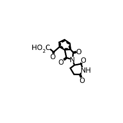 O=C1CCC(N2C(=O)c3cccc(C(=O)C(=O)O)c3C2=O)C(=O)N1